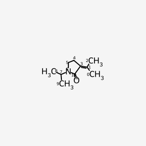 CC(C)=C1CCN(C(C)C)C1=O